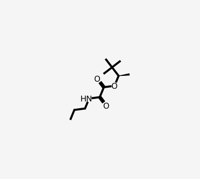 CCCNC(=O)C(=O)O[C@H](C)C(C)(C)C